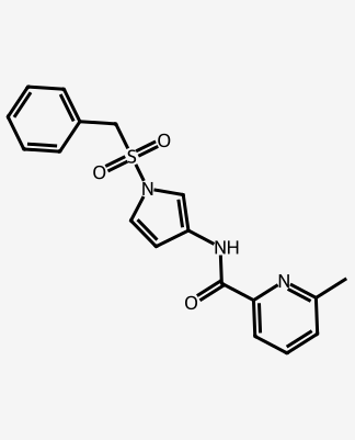 Cc1cccc(C(=O)Nc2ccn(S(=O)(=O)Cc3ccccc3)c2)n1